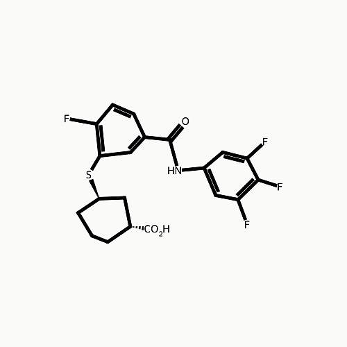 O=C(Nc1cc(F)c(F)c(F)c1)c1ccc(F)c(S[C@@H]2CCC[C@@H](C(=O)O)C2)c1